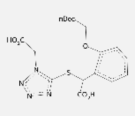 CCCCCCCCCCCOc1ccccc1C(Sc1nnnn1CC(=O)O)C(=O)O